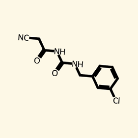 N#CCC(=O)NC(=O)NCc1cccc(Cl)c1